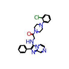 O=C(CNc1c(-c2ccccc2)nc2cnccn12)N1CCN(c2ccccc2Cl)CC1